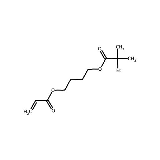 C=CC(=O)OCCCCOC(=O)C(C)(C)CC